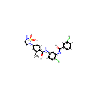 Cc1cc(N2CCNS2(=O)=O)ccc1C(=O)Nc1ccc(Cl)c(NC(=O)c2cccc(Cl)c2)c1